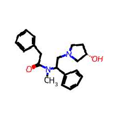 CN(C(=O)Cc1ccccc1)C(CN1CC[C@H](O)C1)c1ccccc1